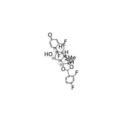 CSC(=O)[C@@]12OC(c3ccc(F)cc3F)O[C@@H]1C[C@H]1[C@@H]3C[C@H](F)C4=CC(=O)C=C[C@]4(C)[C@@]3(F)[C@@H](O)C[C@@]12C